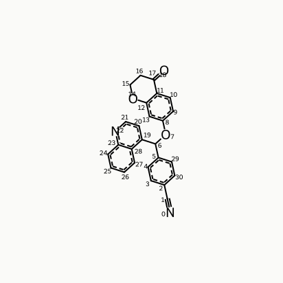 N#Cc1ccc(C(Oc2ccc3c(c2)OCCC3=O)c2ccnc3ccccc23)cc1